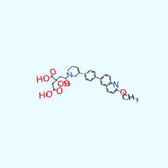 COc1ccc2cc(-c3ccc(C4=CCCN(C(=O)CC(O)(CC(=O)O)C(=O)O)C4)cc3)ccc2n1